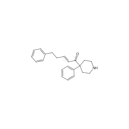 O=C(/C=C/CCc1ccccc1)C1(c2ccccc2)CCNCC1